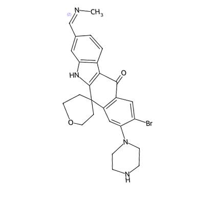 C/N=C\c1ccc2c3c([nH]c2c1)C1(CCOCC1)c1cc(N2CCNCC2)c(Br)cc1C3=O